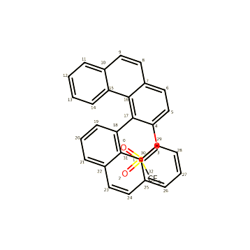 O=S(=O)(Oc1ccc2ccc3ccccc3c2c1-c1cccc2ccc3ccccc3c12)C(F)(F)F